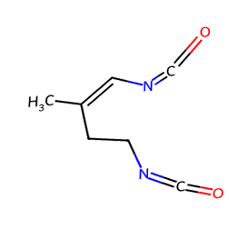 CC(=CN=C=O)CCN=C=O